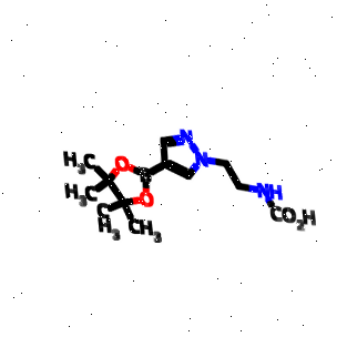 CC1(C)OB(c2cnn(CCNC(=O)O)c2)OC1(C)C